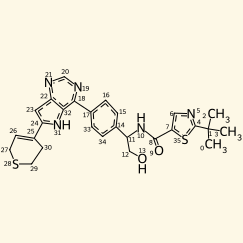 CC(C)(C)c1ncc(C(=O)NC(CO)c2ccc(-c3ncnc4cc(C5=CCSCC5)[nH]c34)cc2)s1